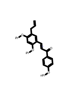 C=CCc1cc(/C=C/C(=O)c2ccc(OCCC)cc2)c(OC(C)C)cc1OC(C)C